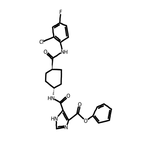 O=C(Oc1ccccc1)c1nc[nH]c1C(=O)N[C@H]1CC[C@H](C(=O)Nc2ccc(F)cc2Cl)CC1